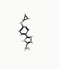 Nc1nnc(-c2ccc(SC3CC3)cc2)s1